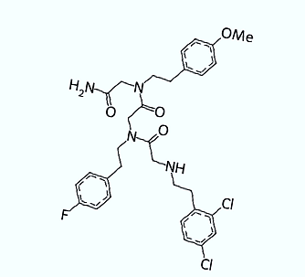 COc1ccc(CCN(CC(N)=O)C(=O)CN(CCc2ccc(F)cc2)C(=O)CNCCc2ccc(Cl)cc2Cl)cc1